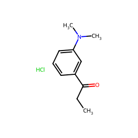 CCC(=O)c1cccc(N(C)C)c1.Cl